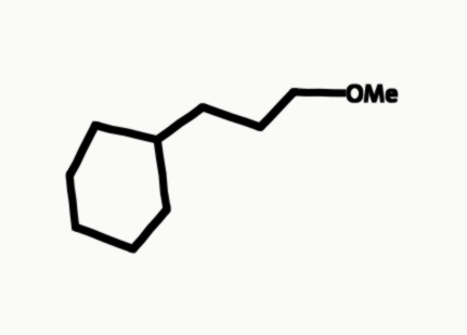 COCCCC1CCCCC1